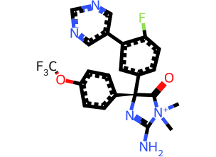 C[N+]1(C)C(=O)[C@@](c2ccc(OC(F)(F)F)cc2)(c2ccc(F)c(-c3cncnc3)c2)N=C1N